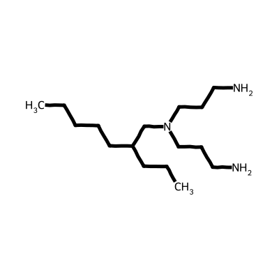 CCCCCC(CCC)CN(CCCN)CCCN